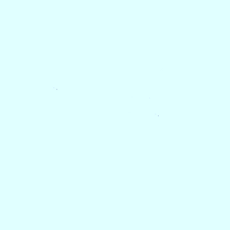 C=CC(N1CCOCC1)S(=O)(=O)c1ccc(N)cc1